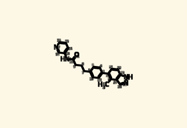 Cc1c(-c2ccc(CCCC(=O)Nc3cccnc3)cc2)ccc2[nH]ncc12